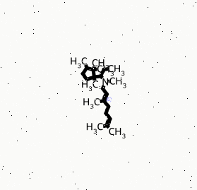 CCC(N(C)C/C=C(\C)CCC=C(C)C)C1(C)CCC(C)C1(C)C